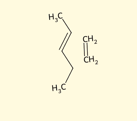 C/C=C/CC.C=C